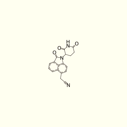 N#CCc1ccc2c3c(cccc13)C(=O)N2C1CCC(=O)NC1=O